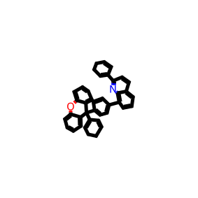 C1=CC(c2ccc3cccc(-c4ccc(C5(C6=CCCC=C6)c6ccccc6Oc6ccccc65)cc4)c3n2)=CCC1